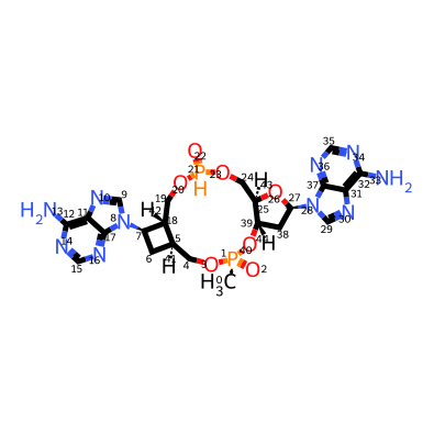 C[P@]1(=O)OC[C@H]2C[C@@H](n3cnc4c(N)ncnc43)[C@@H]2CO[PH](=O)OC[C@H]2O[C@@H](n3cnc4c(N)ncnc43)C[C@@H]2O1